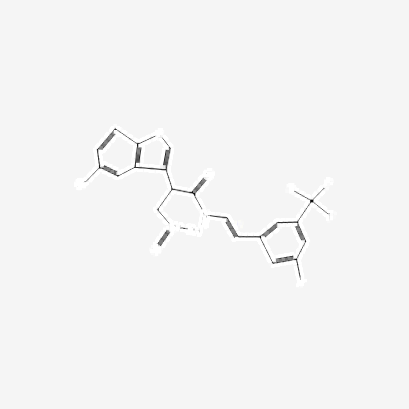 O=C(N/C=C/c1cc(F)cc(C(F)(F)F)c1)C(C[PH](=O)O)c1csc2ccc(Cl)cc12